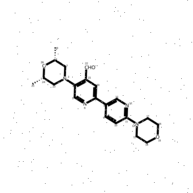 C[C@@H]1CN(c2cnc(-c3ccc(N4CCOCC4)nc3)cc2C=O)C[C@H](C)O1